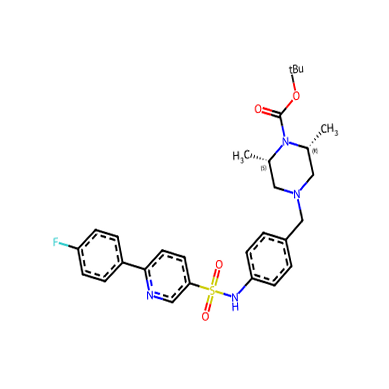 C[C@@H]1CN(Cc2ccc(NS(=O)(=O)c3ccc(-c4ccc(F)cc4)nc3)cc2)C[C@H](C)N1C(=O)OC(C)(C)C